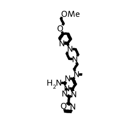 COCCOc1ccc(N2CCN(CCN(C)c3cc4nc(-c5ncco5)nn4c(N)n3)CC2)nc1